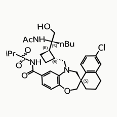 CCCC[C@](CO)(NC(C)=O)[C@@H]1CC[C@H]1CN1C[C@@]2(CCCc3cc(Cl)ccc32)COc2ccc(C(=O)NS(=O)(=O)C(C)C)cc21